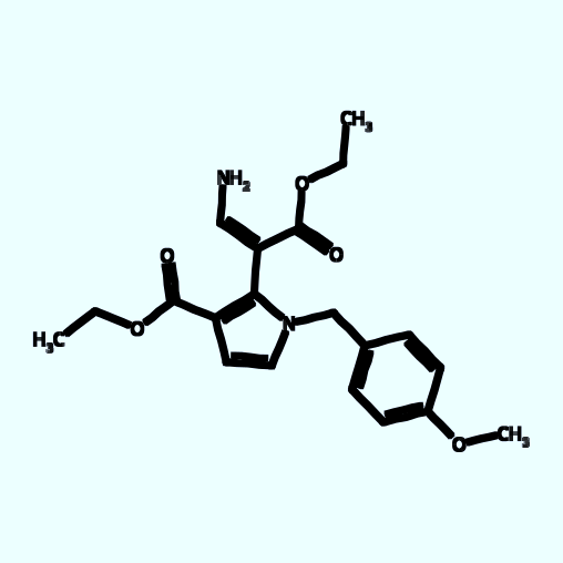 CCOC(=O)C(=CN)c1c(C(=O)OCC)ccn1Cc1ccc(OC)cc1